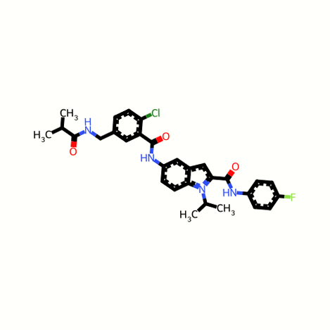 CC(C)C(=O)NCc1ccc(Cl)c(C(=O)Nc2ccc3c(c2)cc(C(=O)Nc2ccc(F)cc2)n3C(C)C)c1